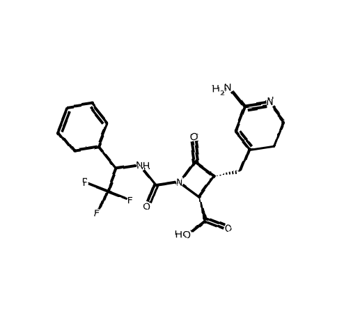 NC1=NCCC(C[C@H]2C(=O)N(C(=O)NC(C3C=CC=CC3)C(F)(F)F)[C@@H]2C(=O)O)=C1